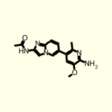 COc1cc(-c2ccc3nc(NC(C)=O)cn3c2)c(C)nc1N